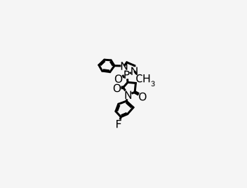 CN1CCN(c2ccccc2)P1(=O)C1CC(=O)N(c2ccc(F)cc2)C1=O